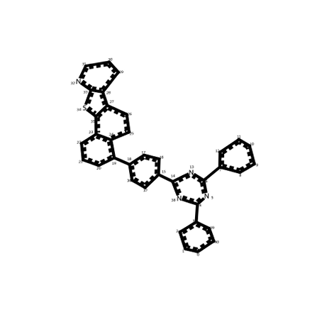 c1ccc(-c2nc(-c3ccccc3)nc(-c3ccc(-c4cccc5c4ccc4c6cccnc6sc54)cc3)n2)cc1